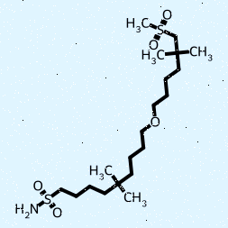 CC(C)(CCCCOCCCCC(C)(C)CS(C)(=O)=O)CCCCS(N)(=O)=O